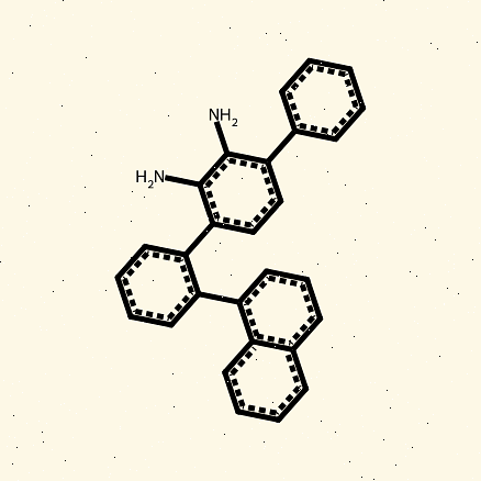 Nc1c(-c2ccccc2)ccc(-c2ccccc2-c2cccc3ccccc23)c1N